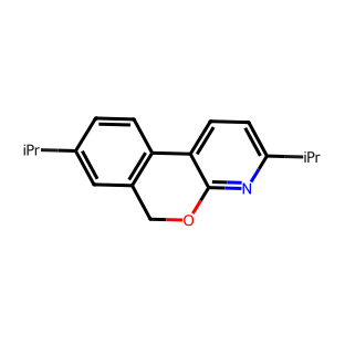 CC(C)c1ccc2c(c1)COc1nc(C(C)C)ccc1-2